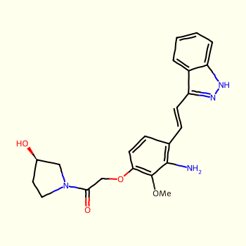 COc1c(OCC(=O)N2CC[C@@H](O)C2)ccc(C=Cc2n[nH]c3ccccc23)c1N